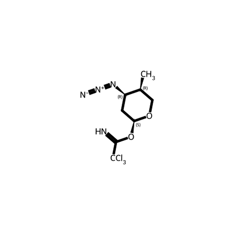 C[C@H]1CO[C@@H](OC(=N)C(Cl)(Cl)Cl)C[C@H]1N=[N+]=[N-]